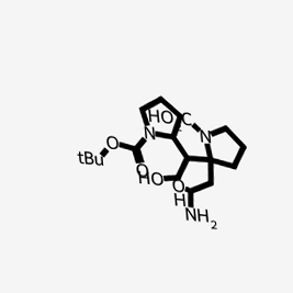 CC(C)(C)OC(=O)N1CCCC1C(CO)C1(CC(N)O)CCCN1C(=O)O